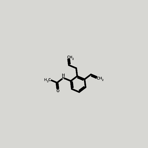 C=CCc1c(C=C)cccc1NC(C)=O